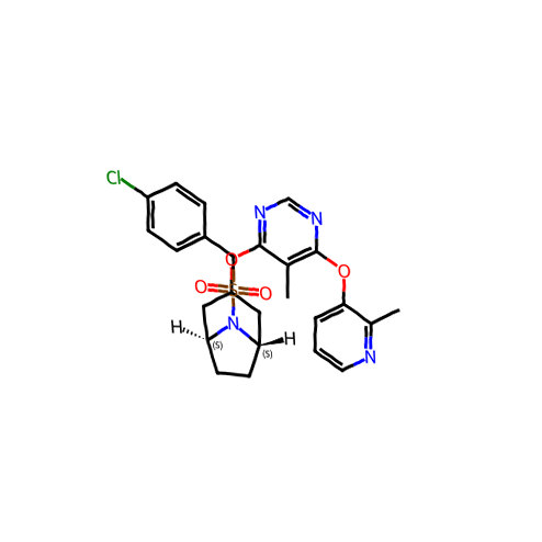 Cc1ncccc1Oc1ncnc(OC2C[C@@H]3CC[C@@H](C2)N3S(=O)(=O)Cc2ccc(Cl)cc2)c1C